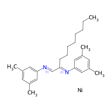 CCCCCCCCC(/C=N/c1cc(C)cc(C)c1)=N\c1cc(C)cc(C)c1.[Ni]